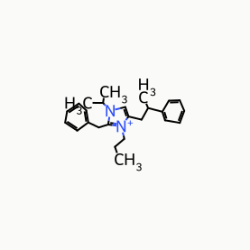 CCC[n+]1c(CC(C)c2ccccc2)cn(C(C)C)c1Cc1ccccc1